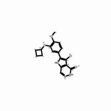 COc1ccc(-c2[nH]c3cn[nH]c(=O)c3c2Cl)cc1OC1CCC1